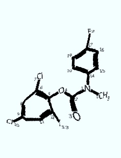 CN(C(=O)Oc1c(Cl)cc(Cl)cc1I)c1ccc(F)cc1